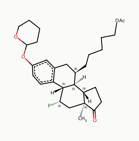 CC(=O)OCCCCC[C@@H]1Cc2cc(OC3CCCCO3)ccc2[C@@H]2[C@@H]1[C@@H]1CCC(=O)[C@@]1(C)C[C@@H]2F